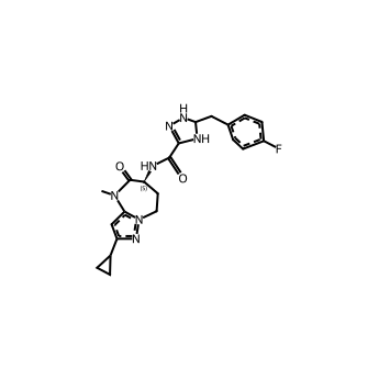 CN1C(=O)[C@@H](NC(=O)C2=NNC(Cc3ccc(F)cc3)N2)CCn2nc(C3CC3)cc21